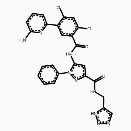 Nc1cccc(-c2cc(C(=O)Nc3cc(C(=O)NCc4cnn[nH]4)nn3-c3ccccc3)c(Cl)cc2Cl)n1